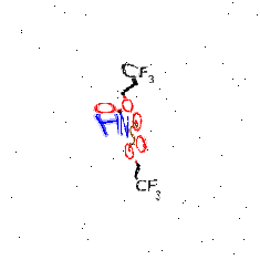 O=C(NS(=O)(=O)OCCC(F)(F)F)OCCC(F)(F)F